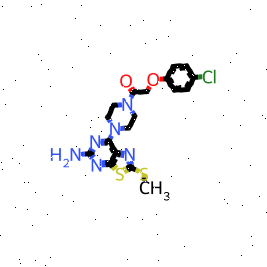 CSc1nc2c(N3CCN(C(=O)COc4ccc(Cl)cc4)CC3)nc(N)nc2s1